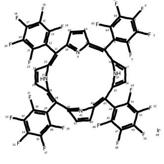 Fc1c(F)c(F)c(-c2c3nc(c(-c4c(F)c(F)c(F)c(F)c4F)c4ccc([nH]4)c(-c4c(F)c(F)c(F)c(F)c4F)c4nc(c(-c5c(F)c(F)c(F)c(F)c5F)c5ccc2[nH]5)C=C4)C=C3)c(F)c1F.[Ir]